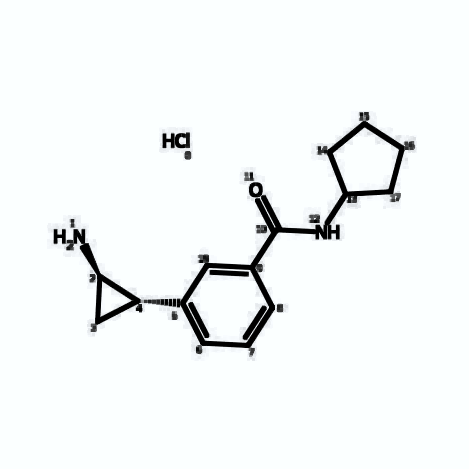 Cl.N[C@@H]1C[C@H]1c1cccc(C(=O)NC2CCCC2)c1